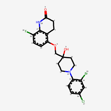 O=C1CCc2c(OCC3(O)CCN(c4ccc(Cl)cc4Br)CC3)ccc(F)c2N1